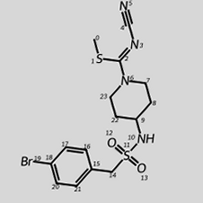 CSC(=NC#N)N1CCC(NS(=O)(=O)Cc2ccc(Br)cc2)CC1